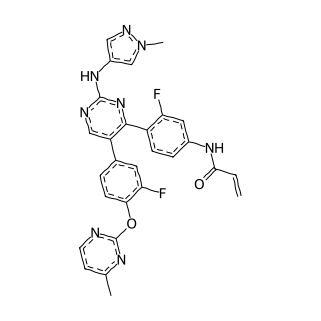 C=CC(=O)Nc1ccc(-c2nc(Nc3cnn(C)c3)ncc2-c2ccc(Oc3nccc(C)n3)c(F)c2)c(F)c1